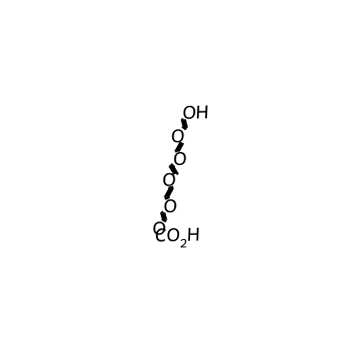 O=C(O)OCCOCCOCCOCCOCCO